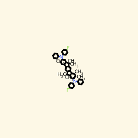 Cc1ccccc1N(c1ccc(F)cc1)c1ccc2c(c1)C(C)(C)c1cc3c(cc1-2)C(C)(C)c1cc(N(c2ccc(F)cc2)c2ccccc2C)cc(C)c1-3